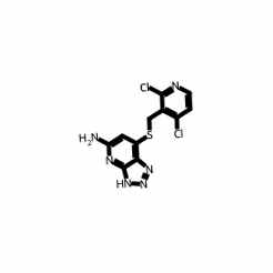 Nc1cc(SCc2c(Cl)ccnc2Cl)c2nn[nH]c2n1